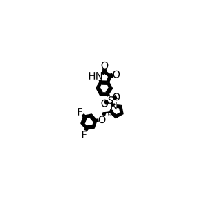 O=C1Nc2ccc(S(=O)(=O)N3CCC[C@H]3COc3cc(F)cc(F)c3)cc2C1=O